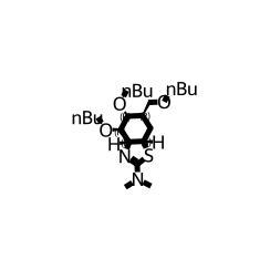 CCCCOC[C@H]1C[C@@H]2SC(N(C)C)=N[C@@H]2[C@@H](OCCCC)[C@@H]1OCCCC